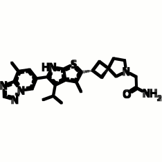 Cc1cc(-c2[nH]c3sc([C@H]4C[C@]5(CCN(CC(N)=O)C5)C4)c(C)c3c2C(C)C)cn2ncnc12